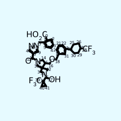 O=C(O)c1ccccc1Cn1cc(C(=O)N2CC(COCc3cccc(C4CCC(C(F)(F)F)CC4)c3)C3(C2)CN(C(O)C2(C(F)(F)F)CC2)C3)cn1